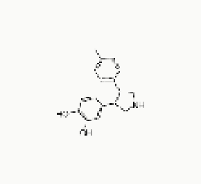 Cc1ccc(C2CNCC2c2ccc(O)c(O)c2)cc1